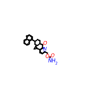 NC(=O)OCc1ccc(C2CC2)c(C(=O)C2CCC(c3cccc4ccccc34)CC2)n1